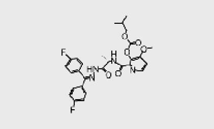 COc1ccnc(C(=O)N[C@@H](C)C(=O)NN=C(c2ccc(F)cc2)c2ccc(F)cc2)c1OC(=O)OCC(C)C